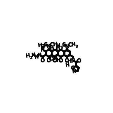 CN(C)c1cc(CNC(=O)c2ccno2)c(O)c2c1C[C@H]1C[C@H]3C(N(C)C)C(N=O)=C(C(=O)N=NN)C(=O)[C@@]3(O)C(O)=C1C2=O